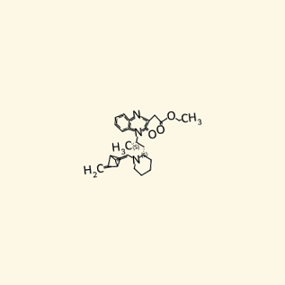 C=C1C2CC1C2=CN1CCCC[C@H]1C[C@H](C)n1c(=O)c(CC(=O)OCC)nc2ccccc21